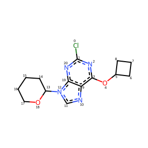 Clc1nc(OC2CCC2)c2ncn(C3CCCCO3)c2n1